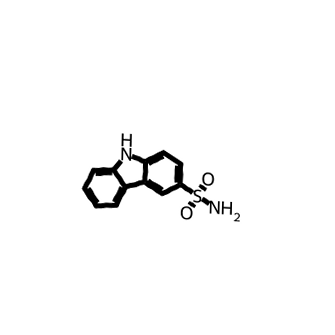 NS(=O)(=O)c1ccc2[nH]c3ccccc3c2c1